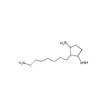 CCCCCCC1CCC(N)C1CCCCCCCN